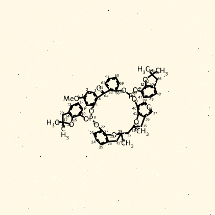 COc1ccc2c(c1)OP(Oc1cccc3c1OC(C)(C)C3)Oc1cccc3c1OC(C)(C3)CC1(C)Cc3cccc(c3O1)OP(Oc1cccc3c1OC(C)(C)C3)Oc1ccccc1C2=O